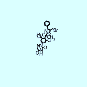 CC(C)(c1nc(-c2ccccc2)c(CBr)s1)c1c(Cl)cc(-n2ncc(=O)[nH]c2=O)cc1Cl